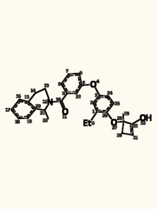 CCc1cc(Oc2cccc(C(=O)N3CCc4ccccc4C3C)c2)ccc1OC1(C)CC=C1O